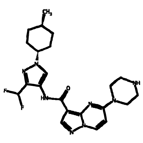 C[C@H]1CC[C@H](n2cc(NC(=O)c3cnn4ccc(N5CCNCC5)nc34)c(C(F)F)n2)CC1